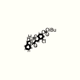 Cc1cc(OC(=O)OCC(C)C)cc(Cl)c1CC(N)C(=O)N1CCc2ccccc21